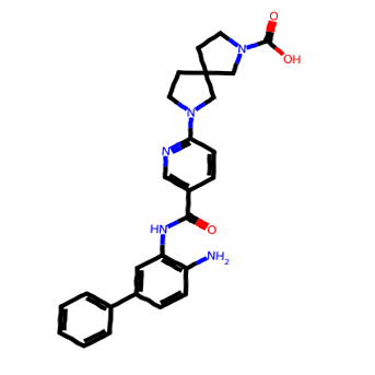 Nc1ccc(-c2ccccc2)cc1NC(=O)c1ccc(N2CCC3(CCN(C(=O)O)C3)C2)nc1